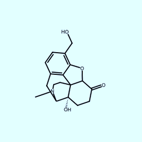 CN1CCC23c4c5ccc(CO)c4OC2C(=O)CC[C@@]3(O)C1C5